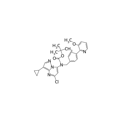 COc1cccnc1-c1ccc(CN(C(=O)OC(C)(C)C)c2cc(Cl)nc3c(C4CC4)cnn23)cc1